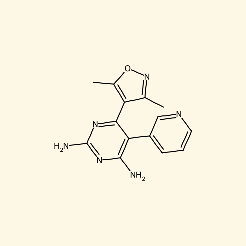 Cc1noc(C)c1-c1nc(N)nc(N)c1-c1cccnc1